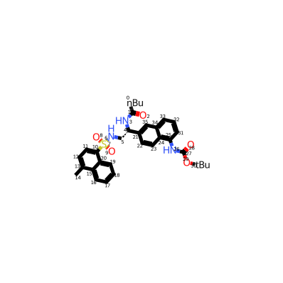 CCCCC(=O)N[C@@H](CNS(=O)(=O)c1ccc(C)c2ccccc12)c1ccc2c(NC(=O)OC(C)(C)C)cccc2c1